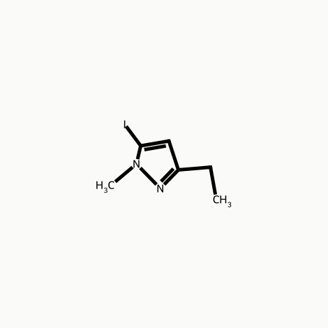 CCc1cc(I)n(C)n1